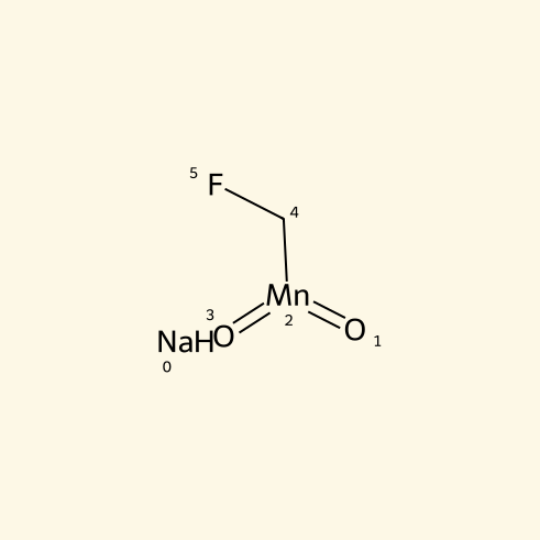 [NaH].[O]=[Mn](=[O])[CH2]F